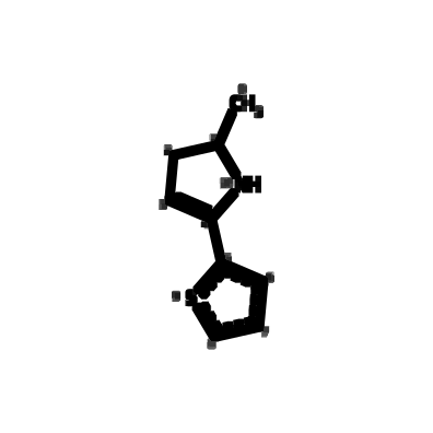 CC1CC=C(c2cccs2)N1